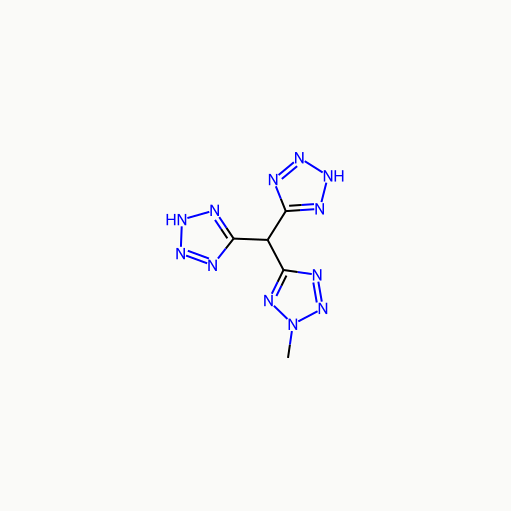 Cn1nnc(C(c2nn[nH]n2)c2nn[nH]n2)n1